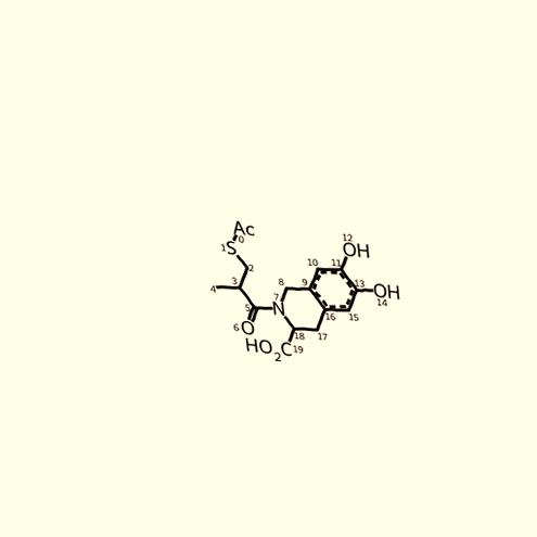 CC(=O)SCC(C)C(=O)N1Cc2cc(O)c(O)cc2CC1C(=O)O